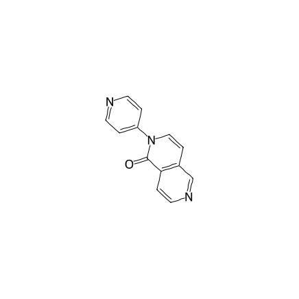 O=c1c2ccncc2ccn1-c1ccncc1